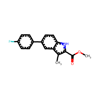 COC(=O)c1[nH]c2ccc(-c3ccc(F)cc3)cc2c1C